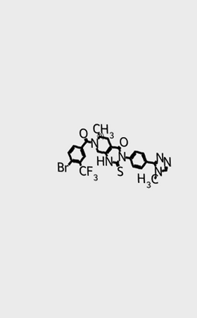 C[C@@H]1Cc2c([nH]c(=S)n(-c3ccc(-c4nncn4C)cc3)c2=O)CN1C(=O)c1ccc(Br)c(C(F)(F)F)c1